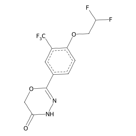 O=C1COC(c2ccc(OCC(F)F)c(C(F)(F)F)c2)=NN1